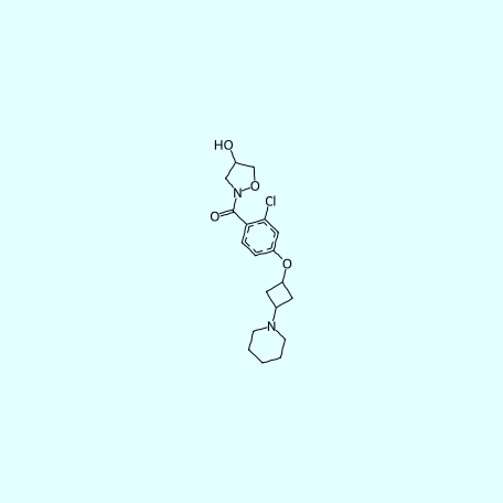 O=C(c1ccc(OC2CC(N3CCCCC3)C2)cc1Cl)N1CC(O)CO1